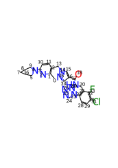 Cc1nc(N2CC3CC3C2)ccc1Cn1cc(C(=O)NCc2c(-n3cnnn3)ccc(Cl)c2F)cn1